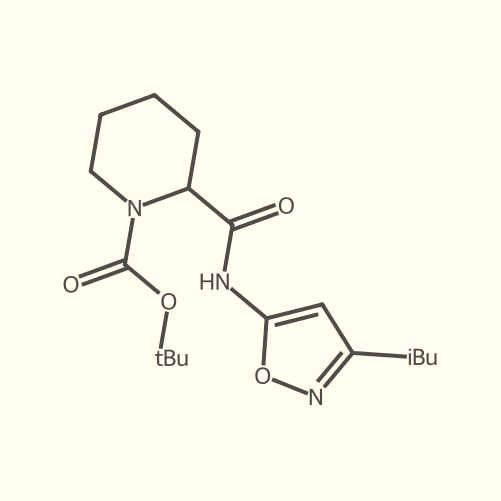 CCC(C)c1cc(NC(=O)C2CCCCN2C(=O)OC(C)(C)C)on1